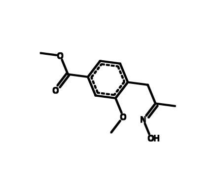 COC(=O)c1ccc(CC(C)=NO)c(OC)c1